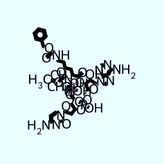 CC(C)(C)OC(=O)NC(CCCCNC(=O)OCc1ccccc1)C(=O)O[C@H]1[C@@H](O)[C@H](n2cnc3c(N)ncnc32)O[C@@H]1COP(=O)(O)O[C@H]1C[C@H](n2ccc(N)nc2=O)O[C@H]1COP(=O)(O)O